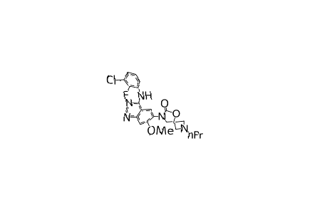 CCCN1CC2(C1)CN(c1cc3c(Nc4cccc(Cl)c4F)ncnc3cc1OC)C(=O)O2